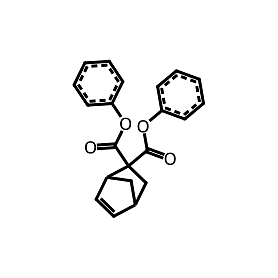 O=C(Oc1ccccc1)C1(C(=O)Oc2ccccc2)CC2C=CC1C2